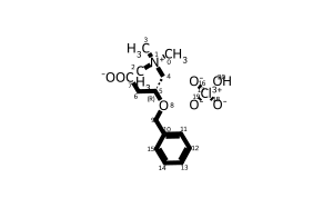 C[N+](C)(C)C[C@@H](CC(=O)[O-])OCc1ccccc1.[O-][Cl+3]([O-])([O-])O